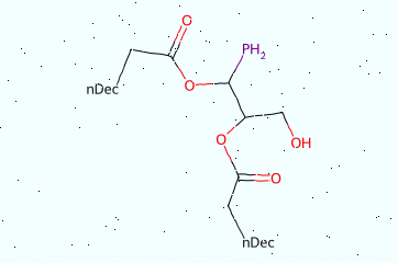 CCCCCCCCCCCC(=O)OC(P)C(CO)OC(=O)CCCCCCCCCCC